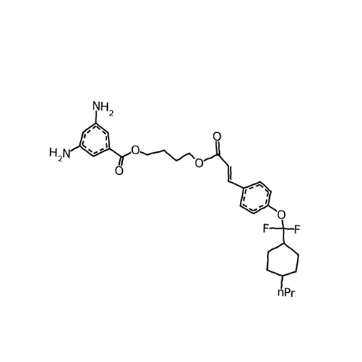 CCCC1CCC(C(F)(F)Oc2ccc(C=CC(=O)OCCCCOC(=O)c3cc(N)cc(N)c3)cc2)CC1